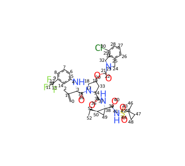 C=C(C)[C@H](Nc1cccc(C(F)(F)F)c1)C(=O)N1C[C@H](OC(=O)N2Cc3cccc(Cl)c3C2)C[C@H]1C(=O)N[C@]1(C(=O)NS(=O)(=O)C2(C)CC2)C[C@H]1CC